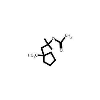 CC(C)(CC1(C(=O)O)CCCC1)OC(N)=O